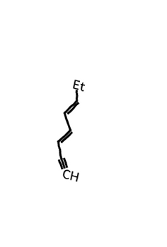 C#CC=CC=CCC